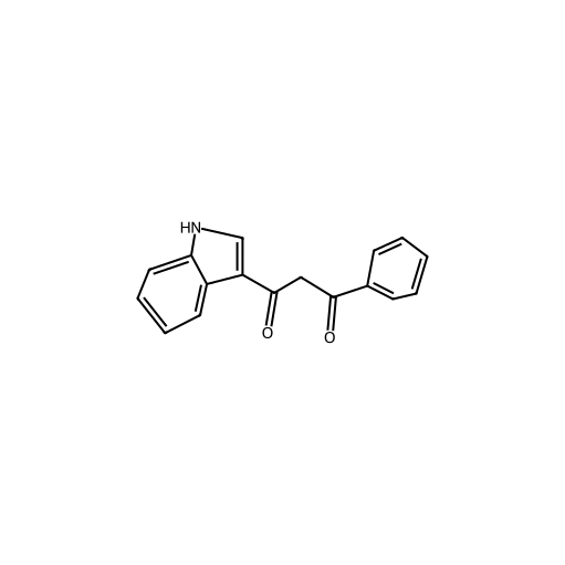 O=C(CC(=O)c1c[nH]c2ccccc12)c1ccccc1